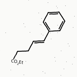 CCOC(=O)CC/C=C/c1ccccc1